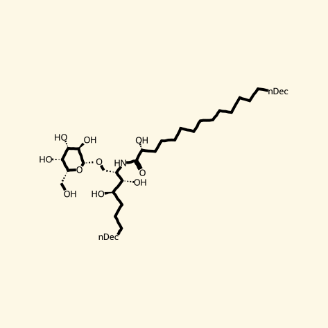 CCCCCCCCCCCCCCCCCCCCCC[C@@H](O)C(=O)N[C@@H](CO[C@@H]1O[C@H](CO)[C@H](O)[C@H](O)[C@H]1O)[C@H](O)[C@H](O)CCCCCCCCCCCCC